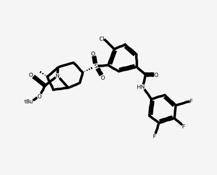 C[C@H]1CC2C[C@@H](S(=O)(=O)c3cc(C(=O)Nc4cc(F)c(F)c(F)c4)ccc3Cl)CC1N2C(=O)OC(C)(C)C